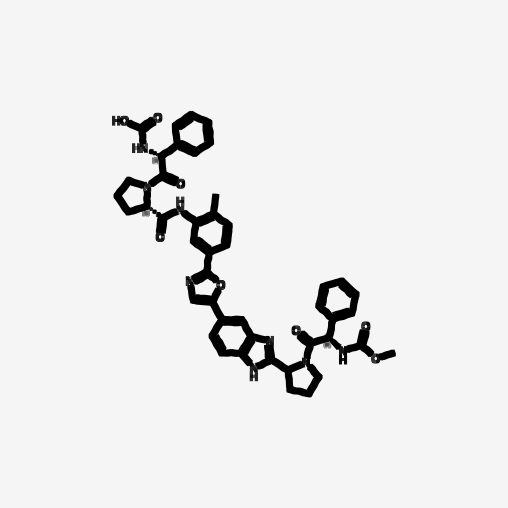 COC(=O)N[C@@H](C(=O)N1CCCC1c1nc2cc(-c3cnc(-c4ccc(C)c(NC(=O)[C@@H]5CCCN5C(=O)[C@H](NC(=O)O)c5ccccc5)c4)o3)ccc2[nH]1)c1ccccc1